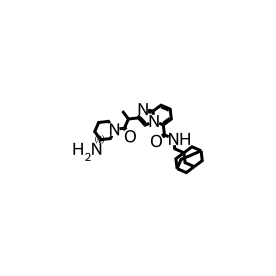 CC(C(=O)N1CCC[C@@H](N)C1)c1cn2c(C(=O)NCC34CC5CC(CC(C5)C3)C4)cccc2n1